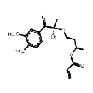 C=CC(=O)OC(C)CCO[C@@](C)(CC)C(=O)c1ccc(C(=O)O)c(C(=O)O)c1